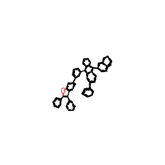 c1ccc(-c2ccc3c(-c4ccc5ccccc5c4)c4ccccc4c(-c4cccc(-c5ccc6c(c5)OC(c5ccccc5)C6c5ccccc5)c4)c3c2)cc1